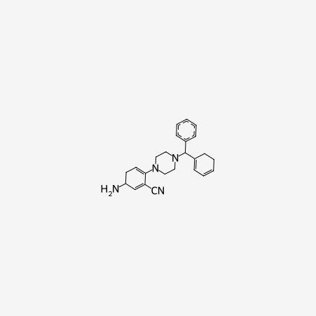 N#CC1=CC(N)CC=C1N1CCN(C(C2=CC=CCC2)c2ccccc2)CC1